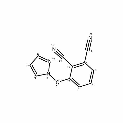 N#Cc1cccc(On2cc[c]n2)c1C#N